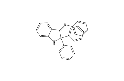 c1ccc(/N=C2/c3ccccc3NC2(c2ccccc2)c2ccccc2)cc1